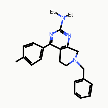 CCN(CC)c1nc2c(c(-c3ccc(C)cc3)n1)CCN(Cc1ccccc1)C2